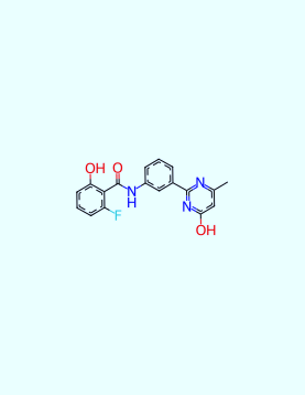 Cc1cc(O)nc(-c2cccc(NC(=O)c3c(O)cccc3F)c2)n1